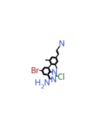 Cc1cc(/C=C/C#N)cc(C)c1-c1cc(Br)cc2c(N)nc(Cl)nc12